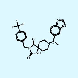 C[C@H](c1ccc2scnc2c1)N1CCC2(CC1)NC(=O)N(Cc1ccc(C(F)(F)F)nc1)C2=O